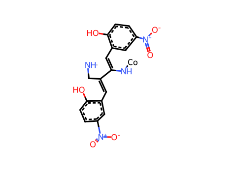 [NH]CC(=Cc1cc([N+](=O)[O-])ccc1O)C(=Cc1cc([N+](=O)[O-])ccc1O)[NH][Co]